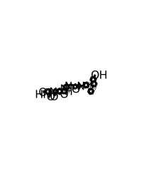 O=C1CC[C@@H](N2Cc3cc4c(cc3C2=O)OC[C@H]2CN(CC3COC5(C3)CN(c3ccc([C@H]6c7ccc(O)cc7CC[C@H]6c6ccccc6)cc3)C5)CCN42)C(=O)N1